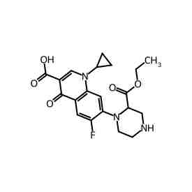 CCOC(=O)C1CNCCN1c1cc2c(cc1F)c(=O)c(C(=O)O)cn2C1CC1